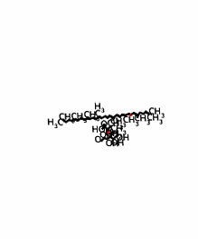 CC(C)=CCC/C(C)=C/C=C/C(C)=C/C=C/C(C)=C/C=C/C=C(C)/C=C/C=C(C)/C=C/C=C(\C)CCC=C(C)C.CC(C)C(N)C(=O)O.O=C[C@H](O)[C@@H](O)[C@H](O)[C@H](O)CO